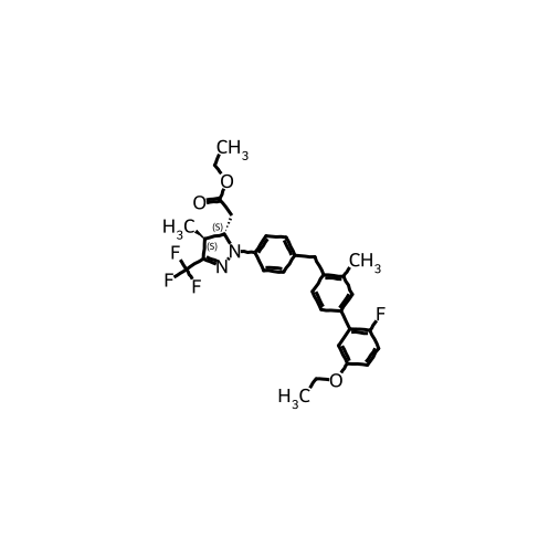 CCOC(=O)C[C@H]1[C@H](C)C(C(F)(F)F)=NN1c1ccc(Cc2ccc(-c3cc(OCC)ccc3F)cc2C)cc1